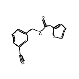 N#Cc1cccc(CNC(=O)c2cccs2)c1